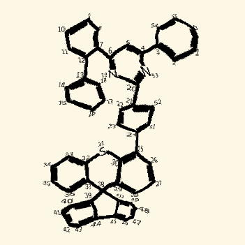 c1ccc(-c2cc(-c3ccccc3-c3ccccc3)nc(-c3ccc(-c4cccc5c4Sc4ccccc4C54c5ccccc5-c5ccccc54)cc3)n2)cc1